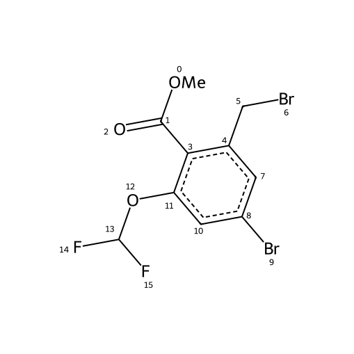 COC(=O)c1c(CBr)cc(Br)cc1OC(F)F